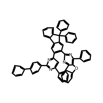 c1ccc(-c2ccc(-c3nc(-c4ccccc4)cc(-c4cc5c(cc4-c4nc(-c6ccccc6)c6oc7ccccc7c6n4)C(c4ccccc4)(c4ccccc4)c4ccccc4-5)n3)cc2)cc1